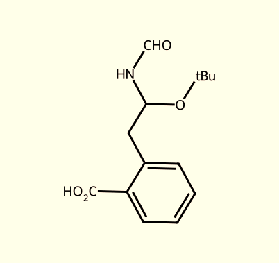 CC(C)(C)OC(Cc1ccccc1C(=O)O)NC=O